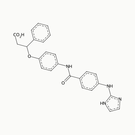 O=C(O)CC(Oc1ccc(NC(=O)c2ccc(Nc3ncc[nH]3)cc2)cc1)c1ccccc1